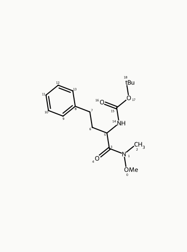 CON(C)C(=O)C(CCc1ccccc1)NC(=O)OC(C)(C)C